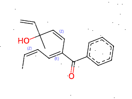 C=CC(C)(O)\C=C/C(=C\C=C/C)C(=O)c1ccccc1